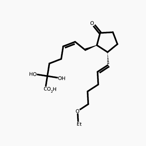 CCOCCC/C=C/[C@H]1CCC(=O)[C@@H]1C/C=C\CCC(O)(O)C(=O)O